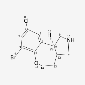 Clc1cc(Br)c2c(c1)[C@H]1CNCC1CCO2